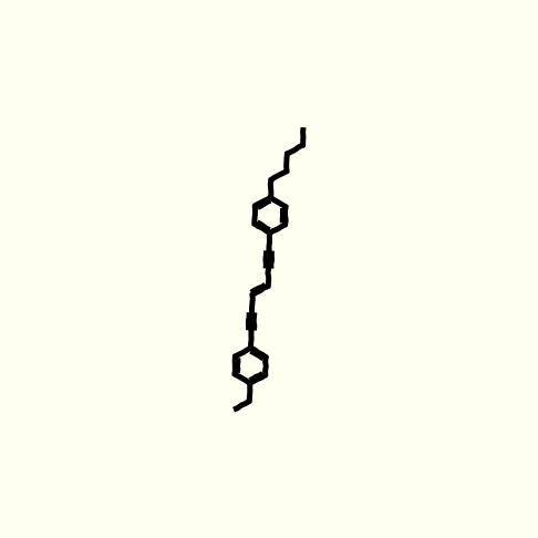 CCCCCc1ccc(C#C/C=C/C#Cc2ccc(CC)cc2)cc1